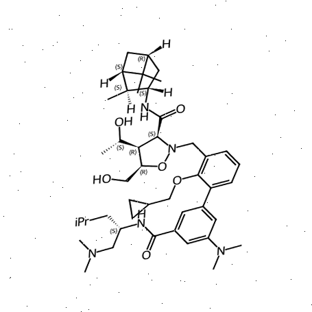 CC(C)C[C@@H](CN(C)C)NC(=O)c1cc(-c2cccc(CN3O[C@@H](CO)[C@@H]([C@H](C)O)[C@H]3C(=O)N[C@H]3C[C@H]4C[C@@H]([C@@H]3C)C4(C)C)c2OCC2CC2)cc(N(C)C)c1